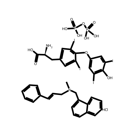 CN(C/C=C/c1ccccc1)Cc1cccc2ccccc12.Cl.N[C@@H](Cc1cc(I)c(Oc2cc(I)c(O)c(I)c2)c(I)c1)C(=O)O.O=P(O)(O)OP(=O)(O)O